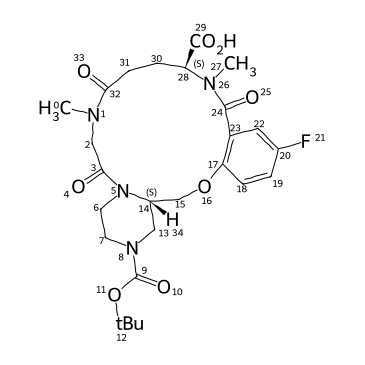 CN1CC(=O)N2CCN(C(=O)OC(C)(C)C)C[C@H]2COc2ccc(F)cc2C(=O)N(C)[C@H](C(=O)O)CCC1=O